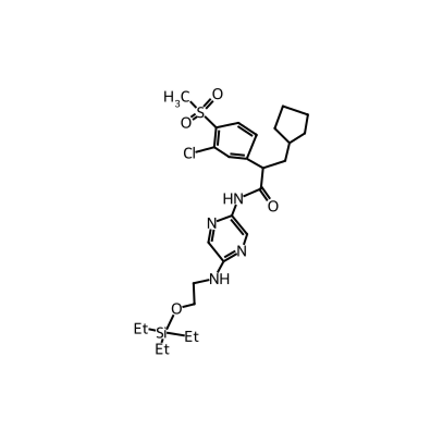 CC[Si](CC)(CC)OCCNc1cnc(NC(=O)C(CC2CCCC2)c2ccc(S(C)(=O)=O)c(Cl)c2)cn1